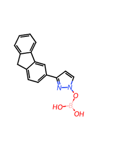 OB(O)On1ccc(-c2ccc3c(c2)-c2ccccc2C3)n1